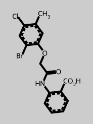 Cc1cc(OCC(=O)Nc2ccccc2C(=O)O)c(Br)cc1Cl